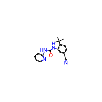 CC(C)(C)c1ccc(C#N)cc1NC(=O)Nc1ccccn1